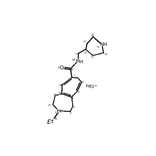 CCN1CCc2ccc(C(=O)NCC3CCNCC3)cc2CC1.Cl